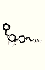 CC(=O)OCCN1CCN(C2(C)CCN(Cc3ccccc3)CC2)CC1